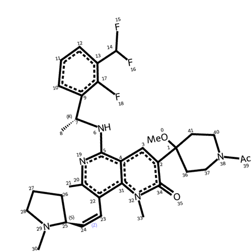 COC1(c2cc3c(N[C@H](C)c4cccc(C(F)F)c4F)nc(C)c(/C=C\[C@@H]4CCCN4C)c3n(C)c2=O)CCN(C(C)=O)CC1